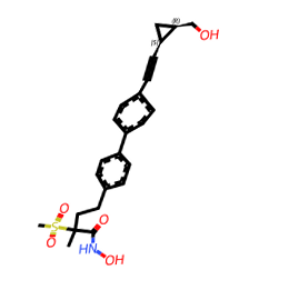 CC(CCc1ccc(-c2ccc(C#C[C@H]3C[C@H]3CO)cc2)cc1)(C(=O)NO)S(C)(=O)=O